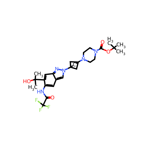 CC(C)(C)OC(=O)N1CCN(C23CC(n4cc5cc(NC(=O)C(F)(F)F)c(C(C)(C)O)cc5n4)(C2)C3)CC1